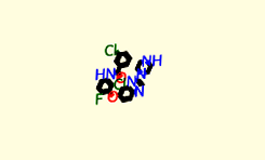 O=C(Nc1ccc(F)c(Oc2ccc3ncc(N4CCNCC4)nc3c2)c1Cl)c1cccc(Cl)c1